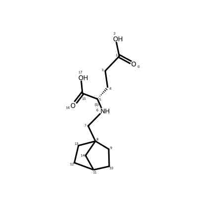 O=C(O)CC[C@H](NCC12CCC(CC1)C2)C(=O)O